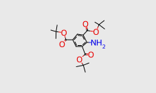 CC(C)(C)OC(=O)c1cc(C(=O)OC(C)(C)C)c(N)c(C(=O)OC(C)(C)C)c1